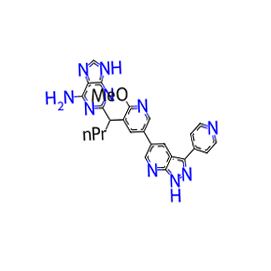 CCCC(c1nc(N)c2nc[nH]c2n1)c1cc(-c2cnc3[nH]nc(-c4ccncc4)c3c2)cnc1OC